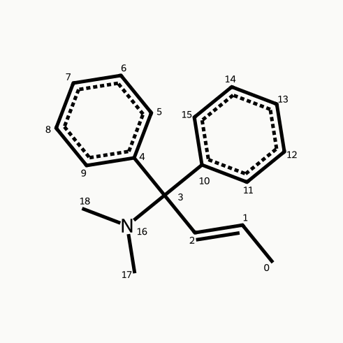 CC=CC(c1ccccc1)(c1ccccc1)N(C)C